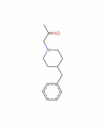 CC(=O)CN1CCC(Cc2ccccc2)CC1